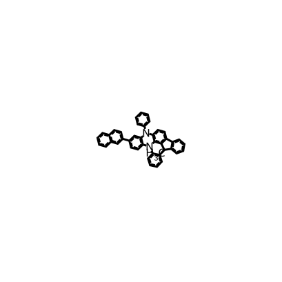 CC12c3ccccc3-c3ccc4c(c31)N(c1ccc(-c3ccc5ccccc5c3)cc1N4c1ccccc1)c1ccccc12